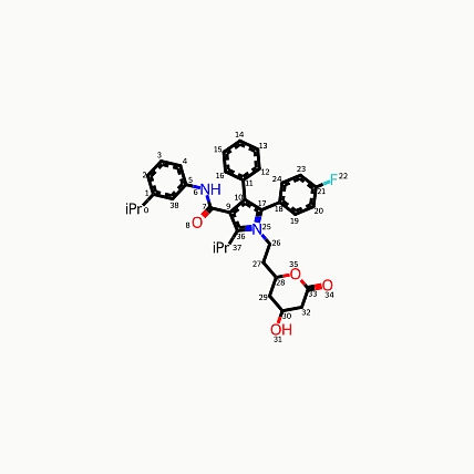 CC(C)c1cccc(NC(=O)c2c(-c3ccccc3)c(-c3ccc(F)cc3)n(CCC3CC(O)CC(=O)O3)c2C(C)C)c1